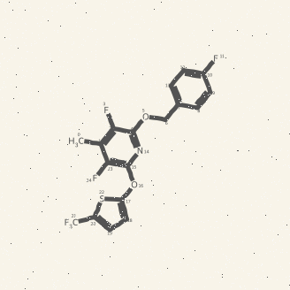 Cc1c(F)c(OCc2ccc(F)cc2)nc(Oc2ccc(C(F)(F)F)s2)c1F